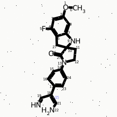 COc1cc(F)c2c(c1)NC1(CCN(c3ccc(/C(C=N)=C/N)cc3)C1=O)C2